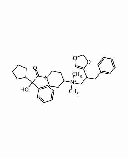 C[N+](C)(CC(Cc1ccccc1)C1=COCO1)C1CCN(C(=O)C(O)(c2ccccc2)C2CCCC2)CC1